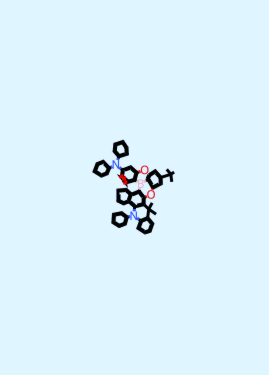 CC(C)(C)c1cc2c3c(c1)Oc1c4c(c5ccccc5c1B3c1c(cc(N(c3ccccc3)c3ccccc3)c3ccccc13)O2)N(c1ccccc1)c1ccccc1C4(C)C